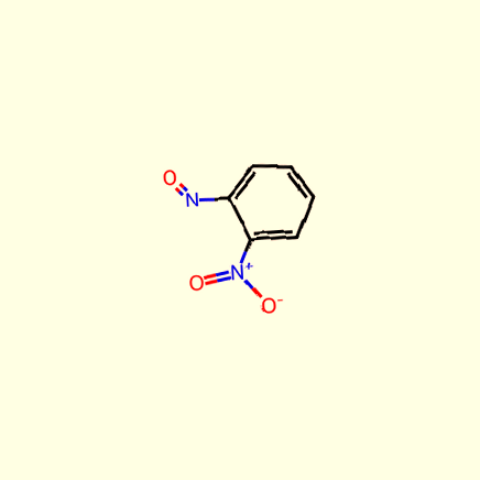 O=Nc1ccccc1[N+](=O)[O-]